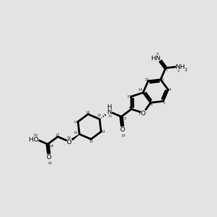 N=C(N)c1ccc2oc(C(=O)N[C@H]3CC[C@H](OCC(=O)O)CC3)cc2c1